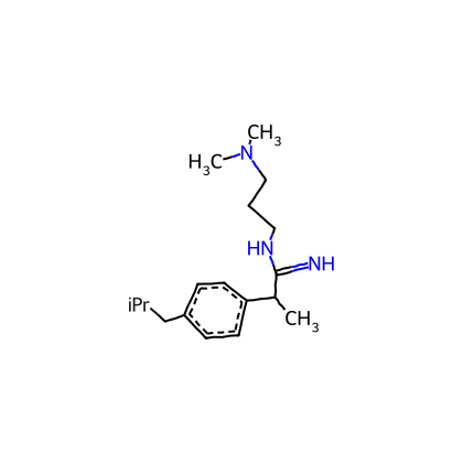 CC(C)Cc1ccc(C(C)C(=N)NCCCN(C)C)cc1